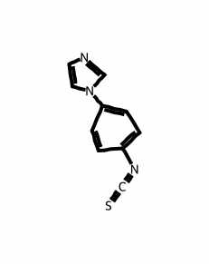 S=C=Nc1ccc(-n2ccnc2)cc1